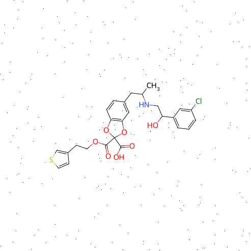 CC(Cc1ccc2c(c1)OC(C(=O)O)(C(=O)OCCc1ccsc1)O2)NCC(O)c1cccc(Cl)c1